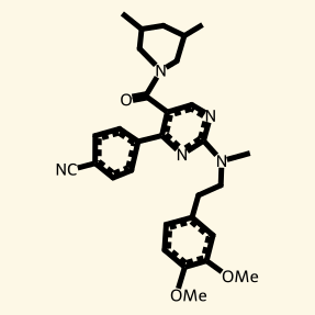 COc1ccc(CCN(C)c2ncc(C(=O)N3CC(C)CC(C)C3)c(-c3ccc(C#N)cc3)n2)cc1OC